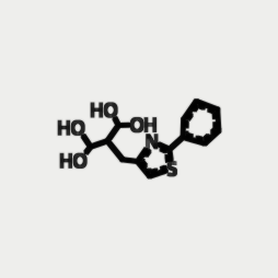 OC(O)C(Cc1csc(-c2ccccc2)n1)C(O)O